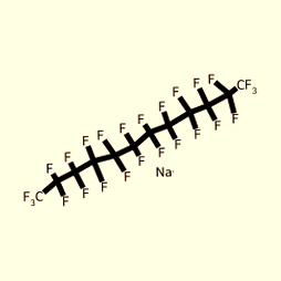 FC(F)(F)C(F)(F)C(F)(F)C(F)(F)C(F)(F)C(F)(F)C(F)(F)C(F)(F)C(F)(F)C(F)(F)C(F)(F)C(F)(F)F.[Na]